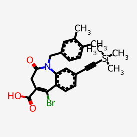 Cc1ccc(CN2C(=O)CC(C(=O)O)=C(Br)c3ccc(C#C[Si](C)(C)C)cc32)cc1C